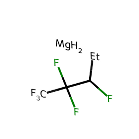 CCC(F)C(F)(F)C(F)(F)F.[MgH2]